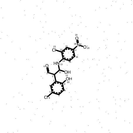 O=CC(c1cc(Cl)ccc1O)C(O)Nc1ccc([N+](=O)[O-])cc1Cl